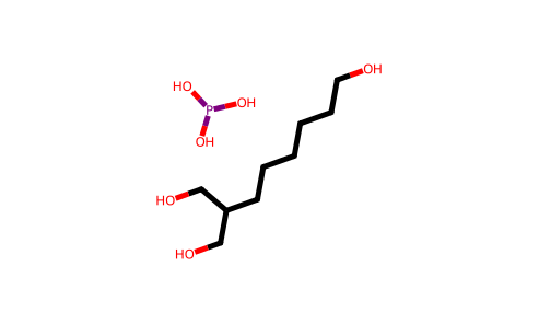 OCCCCCCC(CO)CO.OP(O)O